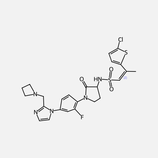 C/C(=C/S(=O)(=O)NC1CCN(c2ccc(-n3ccnc3CN3CCC3)cc2F)C1=O)c1ccc(Cl)s1